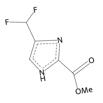 COC(=O)c1nc(C(F)F)c[nH]1